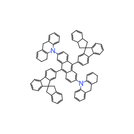 C1=CC2CC3(CC2C=C1)c1ccccc1-c1ccc(-c2c4ccc(N5C6=C(C=CCC6)Cc6ccccc65)cc4c(-c4ccc5c(c4)C4(Cc6ccccc6C4)c4ccccc4-5)c4ccc(N5C6=C(CCC=C6)Cc6ccccc65)cc24)cc13